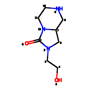 O=C1N(CCO)CC2CNCCN12